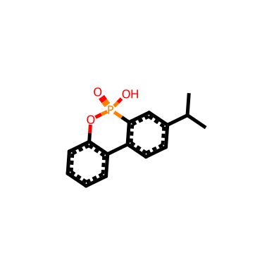 CC(C)c1ccc2c(c1)P(=O)(O)Oc1ccccc1-2